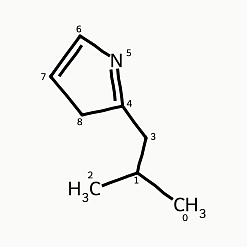 CC(C)CC1=NC=CC1